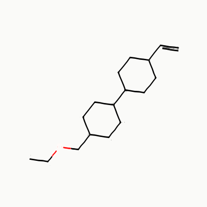 C=CC1CCC(C2CCC(COCC)CC2)CC1